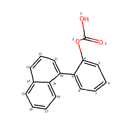 O=C(O)Oc1ccccc1-c1cccc2ccccc12